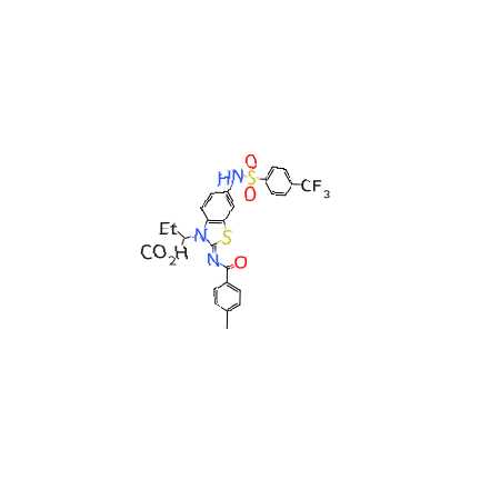 CCC(C(=O)O)n1/c(=N/C(=O)c2ccc(C)cc2)sc2cc(NS(=O)(=O)c3ccc(C(F)(F)F)cc3)ccc21